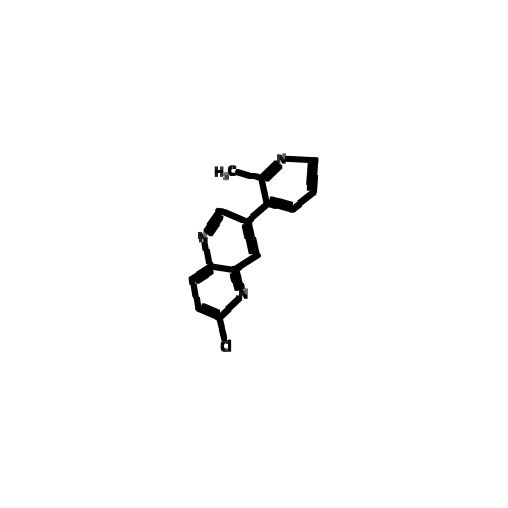 Cc1ncccc1-c1cnc2ccc(Cl)nc2c1